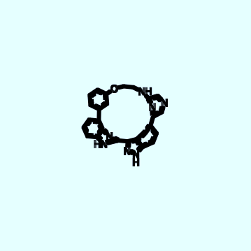 c1cc2cc(c1)-c1cccc3[nH]c(nc13)-c1n[nH]c3ccc(cc13)-c1cncc(n1)NCCO2